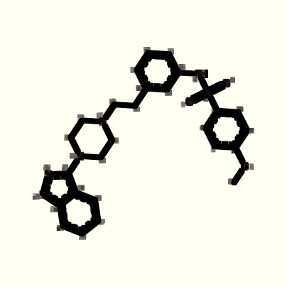 COc1ccc(S(=O)(=O)Nc2cccc(CCN3CCN(c4nsc5ccccc45)CC3)c2)cc1